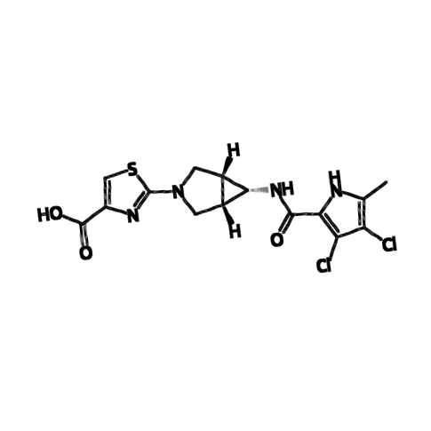 Cc1[nH]c(C(=O)N[C@@H]2[C@@H]3CN(c4nc(C(=O)O)cs4)C[C@@H]32)c(Cl)c1Cl